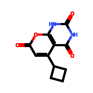 O=c1[nH]c(=O)c2c(C3CCC3)cc(=O)oc2[nH]1